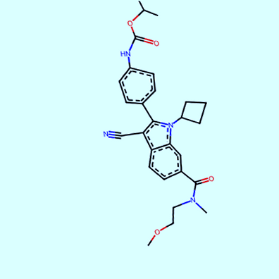 COCCN(C)C(=O)c1ccc2c(C#N)c(-c3ccc(NC(=O)OC(C)C)cc3)n(C3CCC3)c2c1